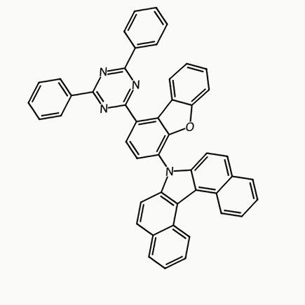 c1ccc(-c2nc(-c3ccccc3)nc(-c3ccc(-n4c5ccc6ccccc6c5c5c6ccccc6ccc54)c4oc5ccccc5c34)n2)cc1